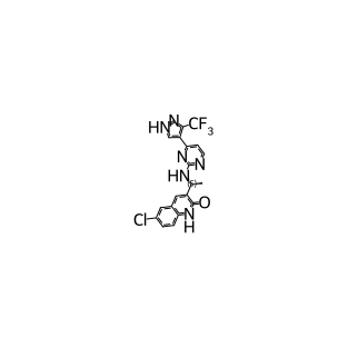 C[C@H](Nc1nccc(-c2c[nH]nc2C(F)(F)F)n1)c1cc2cc(Cl)ccc2[nH]c1=O